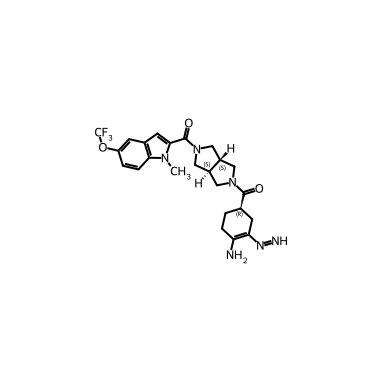 Cn1c(C(=O)N2C[C@@H]3CN(C(=O)[C@@H]4CCC(N)=C(N=N)C4)C[C@H]3C2)cc2cc(OC(F)(F)F)ccc21